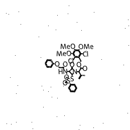 C=C(C)C(C(=O)OCc1c(Cl)c(OC)c(OC)c(OC)c1Cl)N1C(=O)C(NC(=O)COc2ccccc2)C1SS(=O)(=O)c1ccccc1